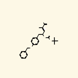 C/C(=C\C(Cc1ccc(OCc2ccccc2)cc1)NC(=O)OC(C)(C)C)C(=O)O